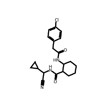 N#CC(NC(=O)C1CCCCC1NC(=O)Cc1ccc(Cl)cc1)C1CC1